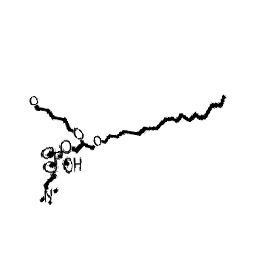 CCCCCCCCCCCCCCCCOCC(COP(=O)(O)OCC[N+](C)(C)C)OCCCCC=O